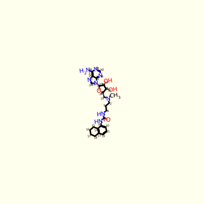 CN(CCCNC(=O)Nc1cccc2c1CCCC2)C[C@H]1O[C@@H](n2cnc3c(N)ncnc32)[C@H](O)[C@H]1O